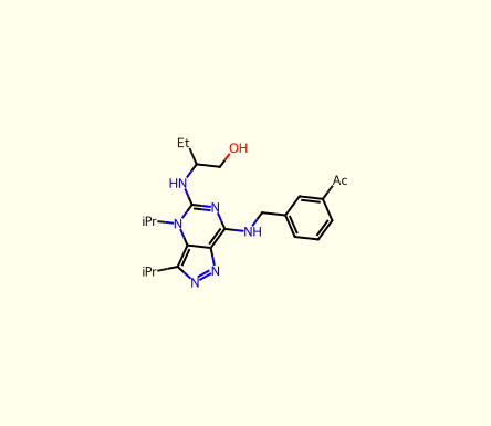 CCC(CO)Nc1nc(NCc2cccc(C(C)=O)c2)c2nnc(C(C)C)c-2n1C(C)C